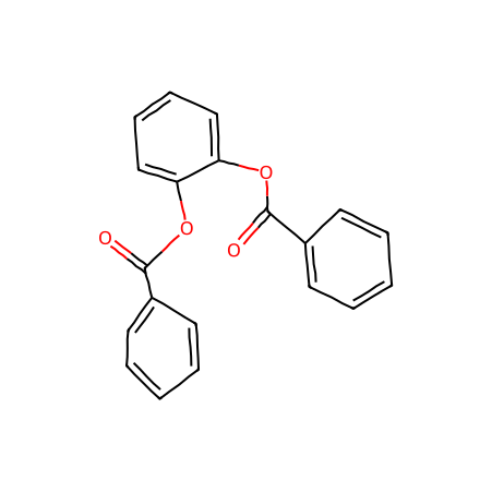 O=C(Oc1ccccc1OC(=O)c1ccccc1)c1ccccc1